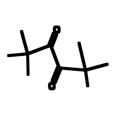 CC(C)(C)C(=O)C(=O)C(C)(C)C